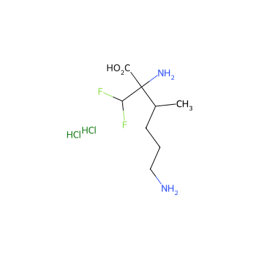 CC(CCCN)C(N)(C(=O)O)C(F)F.Cl.Cl